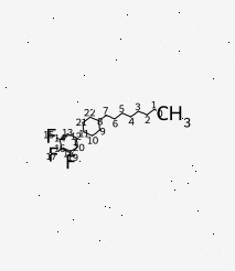 CCCCCCCC[C@H]1CC[C@H](c2cc(F)c(F)c(F)c2)CC1